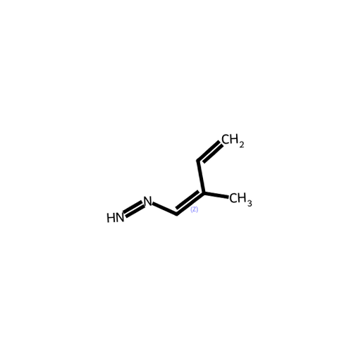 C=C/C(C)=C\N=N